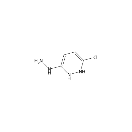 NNC1=CC=C(Cl)NN1